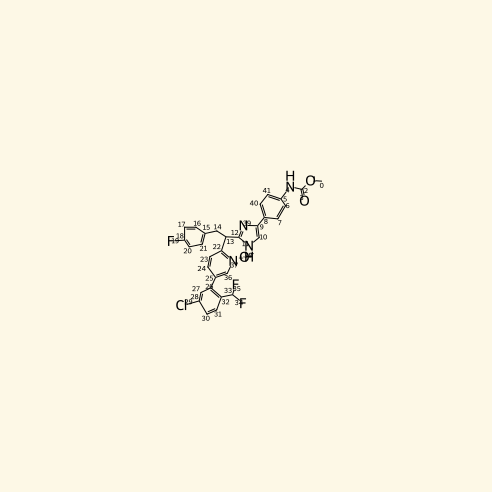 COC(=O)Nc1ccc(-c2c[nH]c(C(Cc3ccc(F)cc3)c3ccc(-c4cc(Cl)ccc4C(F)F)c[n+]3[O-])n2)cc1